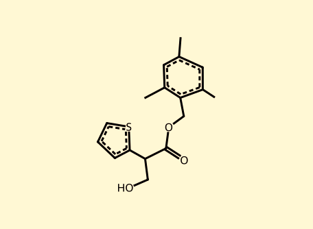 Cc1cc(C)c(COC(=O)C(CO)c2cccs2)c(C)c1